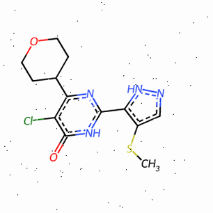 CSc1cn[nH]c1-c1nc(C2CCOCC2)c(Cl)c(=O)[nH]1